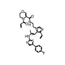 C=CC(=O)N1CCOC=C1C(=O)NCCn1cnc(C=C)c1/C=C(\C)Nc1ncc(-c2ccc(F)cc2)s1